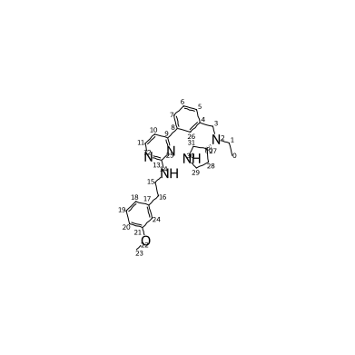 CCN(Cc1cccc(-c2ccnc(NCCc3cccc(OC)c3)n2)c1)[C@@H]1CCNC1